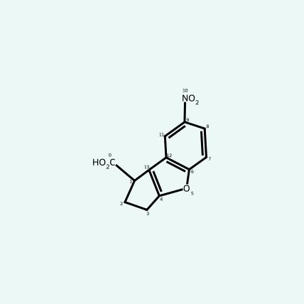 O=C(O)C1CCc2oc3ccc([N+](=O)[O-])cc3c21